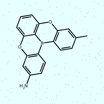 Cc1ccc2c(c1)Oc1cccc3c1B2c1ccc(N)cc1O3